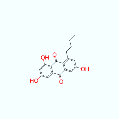 CCCCc1cc(O)cc2c1C(=O)c1c(O)cc(O)cc1C2=O